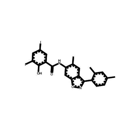 Cc1ccc(-c2noc3cc(NC(=O)c4cc(I)cc(I)c4O)c(C)cc23)c(C)c1